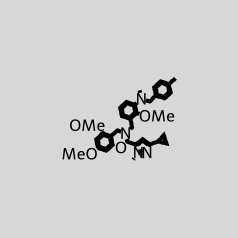 COc1ccc(CN(Cc2cccc(N(C)Cc3ccc(C)cc3)c2OC)C(=O)c2cc(C3CC3)nn2C)c(OC)c1